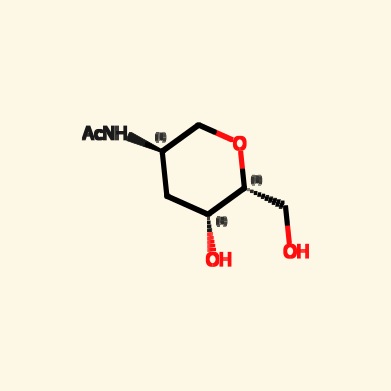 CC(=O)N[C@H]1CO[C@H](CO)[C@H](O)C1